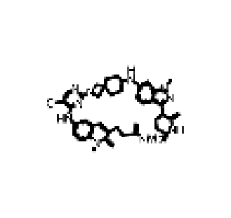 C=C(CCC1=Cc2cc(Nc3nc(N4CC5(CCC(Nc6ccc7c(C8CCC(=C)NC8=C)nn(C)c7c6)CC5)C4)ncc3Cl)ccc2N(C)C1=C)NC